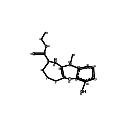 CCOC(=O)C1CCCC2=C(N1)N(C)c1cccc(O)c1C2